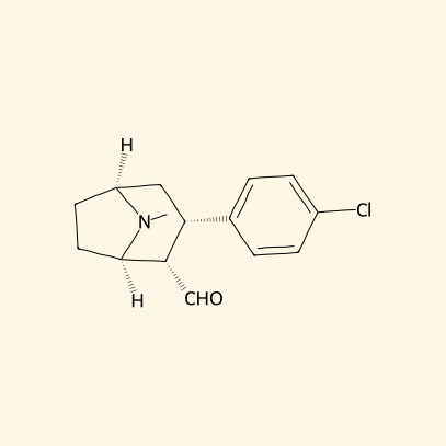 CN1[C@H]2CC[C@@H]1[C@@H](C=O)[C@@H](c1ccc(Cl)cc1)C2